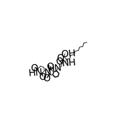 CCCCCCCCCC(NC(=O)CNc1cccc2c1C(=O)N(C1CCC(=O)NC1=O)C2=O)C(=O)O